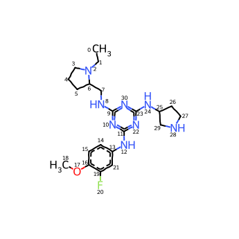 CCN1CCCC1CNc1nc(Nc2ccc(OC)c(F)c2)nc(NC2CCNC2)n1